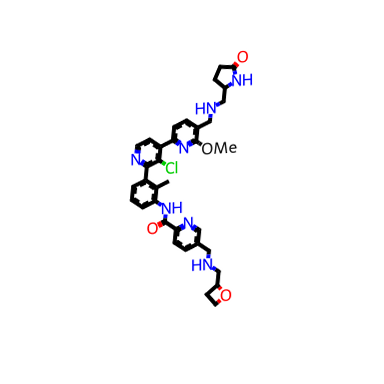 COc1nc(-c2ccnc(-c3cccc(NC(=O)c4ccc(CNCC5CCO5)cn4)c3C)c2Cl)ccc1CNCC1CCC(=O)N1